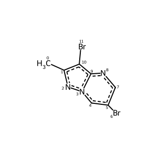 Cc1nn2cc(Br)cnc2c1Br